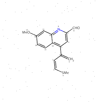 C=C(/C=C\SC)c1cc(C=O)nc2cc(OC)ccc12